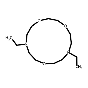 CCN1CCOCCOCCN(CC)CCOCC1